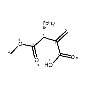 C=C(CC(=O)OC)C(=O)O.[PbH2]